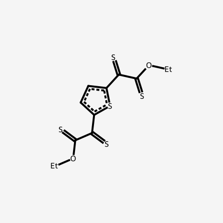 CCOC(=S)C(=S)c1ccc(C(=S)C(=S)OCC)s1